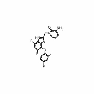 Nc1cccn(Cc2nc3c(Oc4ccc(F)cc4F)c(F)cc(F)c3[nH]2)c1=O